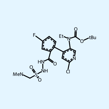 CCN(C(=O)OC(C)(C)C)c1cnc(Cl)cc1-c1ccc(F)cc1C(=O)NNS(=O)(=O)CNC